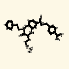 Cl.Cl.N=C(N)c1ccc(CNC(=O)c2ccc3c(c2)NC(CCO)C(=O)N(CCc2ccccc2)C3)cc1